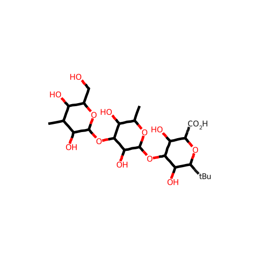 CC1OC(OC2C(O)C(C(=O)O)OC(C(C)(C)C)C2O)C(O)C(OC2OC(CO)C(O)C(C)C2O)C1O